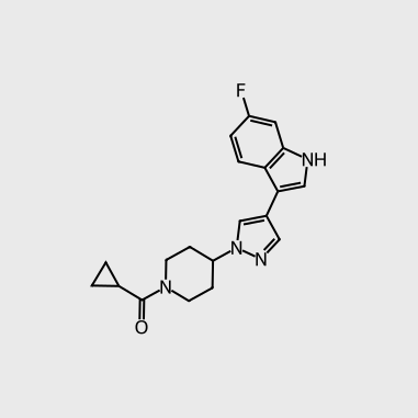 O=C(C1CC1)N1CCC(n2cc(-c3c[nH]c4cc(F)ccc34)cn2)CC1